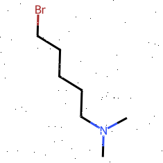 CN(C)CCCCCBr